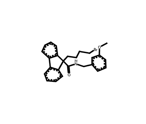 COc1cccc(CNC(=O)C2(CCCCBr)c3ccccc3-c3ccccc32)c1